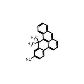 CC1(C)c2cc(C#N)ccc2-c2cccc3cc4ccccc4c1c23